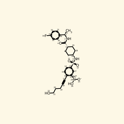 C[C@@H](NC(=O)[C@H]1CC[C@H](NS(=O)(=O)c2ccc(C#CCCCO)c([NH+]([O-])O)c2)CC1)c1ccc(F)cc1